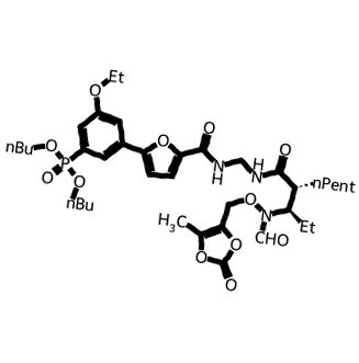 CCCCC[C@@H](C(=O)NCNC(=O)c1ccc(-c2cc(OCC)cc(P(=O)(OCCCC)OCCCC)c2)o1)[C@@H](CC)N(C=O)OCc1oc(=O)oc1C